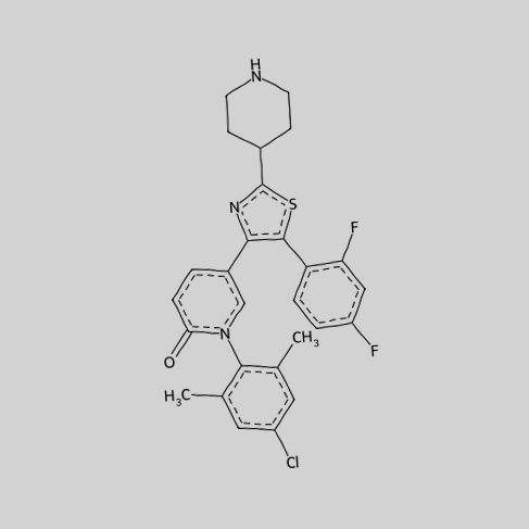 Cc1cc(Cl)cc(C)c1-n1cc(-c2nc(C3CCNCC3)sc2-c2ccc(F)cc2F)ccc1=O